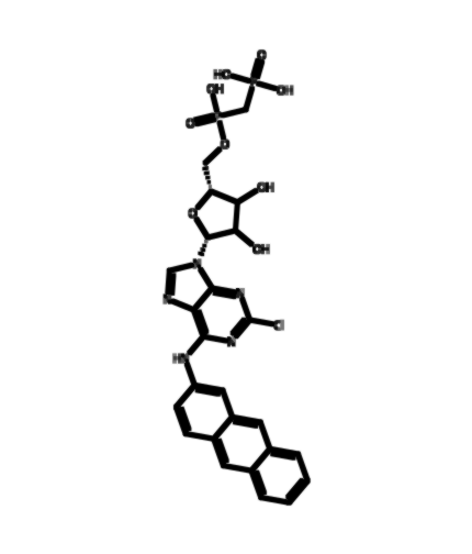 O=P(O)(O)CP(=O)(O)OC[C@H]1O[C@@H](n2cnc3c(Nc4ccc5cc6ccccc6cc5c4)nc(Cl)nc32)C(O)C1O